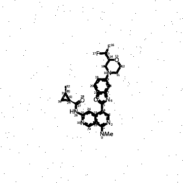 CNc1ncc(-c2nc3cc(N4CCOC(C(F)F)C4)ccc3o2)c2cc(NC(=O)[C@H]3C[C@H]3C)ncc12